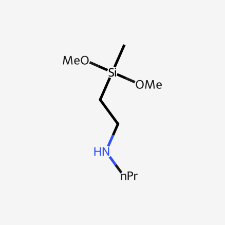 CCCNCC[Si](C)(OC)OC